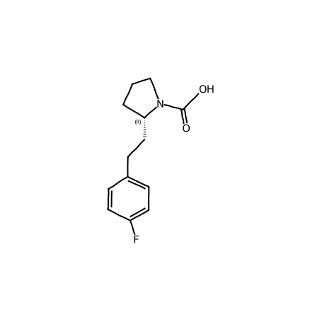 O=C(O)N1CCC[C@H]1CCc1ccc(F)cc1